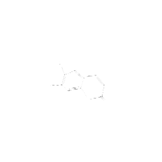 Cc1cc2oc(=O)ccc2cc1Br